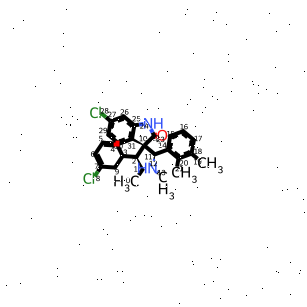 CC[C@@H](C1C=CC=C(Cl)C1)[C@@]1([C@@H](NC)c2cccc(C)c2C)C(=O)Nc2cc(Cl)ccc21